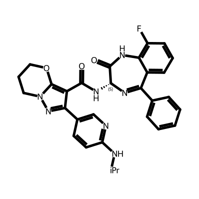 CC(C)Nc1ccc(-c2nn3c(c2C(=O)N[C@H]2N=C(c4ccccc4)c4cccc(F)c4NC2=O)OCCC3)cn1